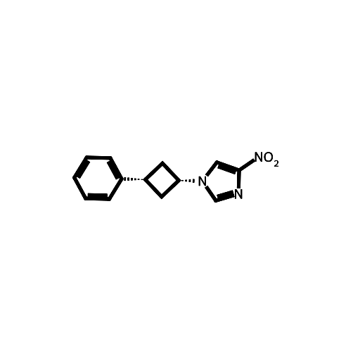 O=[N+]([O-])c1cn([C@H]2C[C@@H](c3ccccc3)C2)cn1